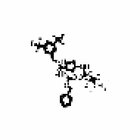 CC(C)(C)OC(=O)N[C@@H]1CC[C@](NC(=O)OCc2ccccc2)(C(=O)NCc2cc(C(F)(F)F)cc(C(F)(F)F)c2)C1